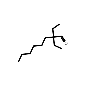 CCCCCCC([C]=O)(CC)CC